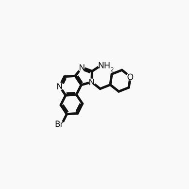 Nc1nc2cnc3cc(Br)ccc3c2n1CC1CCOCC1